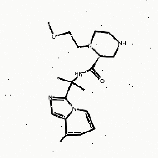 COCCN1CCNC[C@H]1C(=O)NC(C)(C)c1ncc2c(C)cccn12